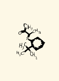 CC(=O)/C(C)=N/c1ccccc1C(C)(C)C